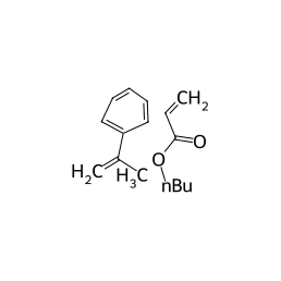 C=C(C)c1ccccc1.C=CC(=O)OCCCC